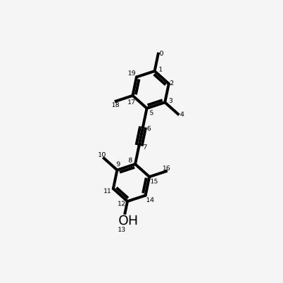 Cc1cc(C)c(C#Cc2c(C)cc(O)cc2C)c(C)c1